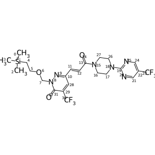 C[Si](C)(C)CCOCn1nc(C=CC(=O)N2CCN(c3ncc(C(F)(F)F)cn3)CC2)cc(C(F)(F)F)c1=O